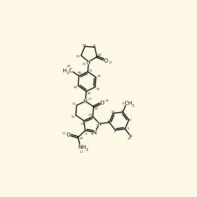 Cc1cc(F)cc(-n2nc(C(N)=O)c3c2C(=O)N(c2ccc(N4CCCC4=O)c(C)c2)CC3)c1